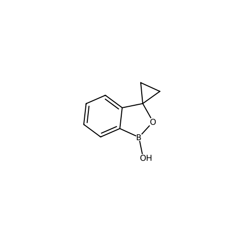 OB1OC2(CC2)c2ccccc21